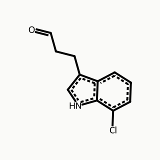 O=CCCc1c[nH]c2c(Cl)cccc12